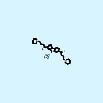 Cl.Cl.O=C(CCCN1CCCCC1)c1ccc2c(c1)oc1cc(C(=O)CCCN3CCCCC3)ccc12